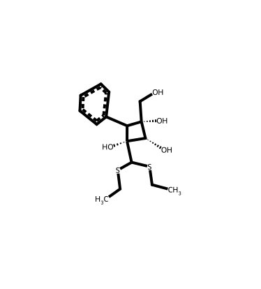 CCSC(SCC)[C@@]1(O)C(c2ccccc2)[C@@](O)(CO)[C@@H]1O